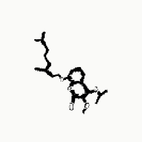 COc1c(OC(C)C)c2cccc(OCC=C(C)CCC=C(C)C)c2oc1=O